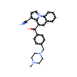 CN1CCN(Cc2ccc(C(=O)c3cc4ccccc4n4ccc(C#N)c34)cc2)CC1